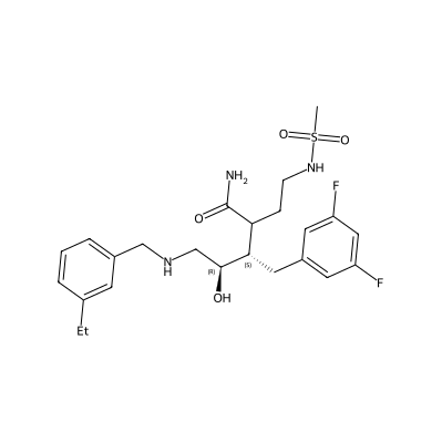 CCc1cccc(CNC[C@H](O)[C@@H](Cc2cc(F)cc(F)c2)C(CCNS(C)(=O)=O)C(N)=O)c1